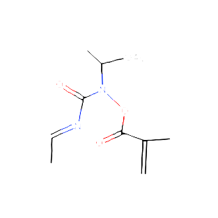 C=C(C)C(=O)ON(C(=O)N=CC)C(C)OC(C)=O